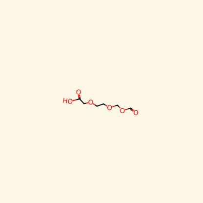 O=COCOCCOCC(=O)O